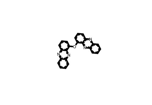 c1ccc2nc3c(Oc4cccc5nc6ccccc6nc45)cccc3nc2c1